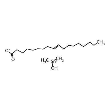 CCCCCCCCC=CCCCCCCCC(=O)[O-].[CH3][Sn+]([CH3])[OH]